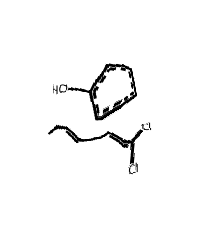 CC=CC=C(Cl)Cl.Oc1ccccc1